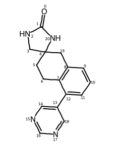 O=C1NCC2(CCc3c(cccc3-c3cncnc3)C2)N1